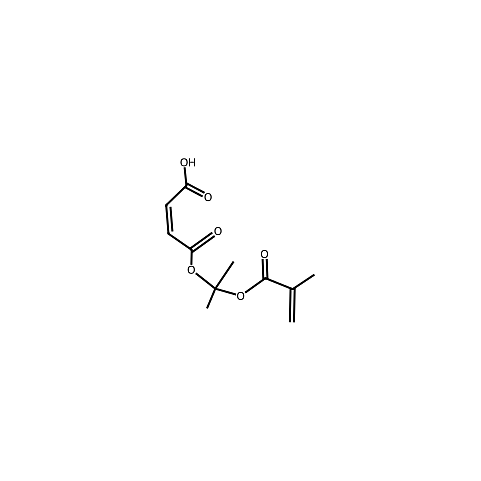 C=C(C)C(=O)OC(C)(C)OC(=O)/C=C\C(=O)O